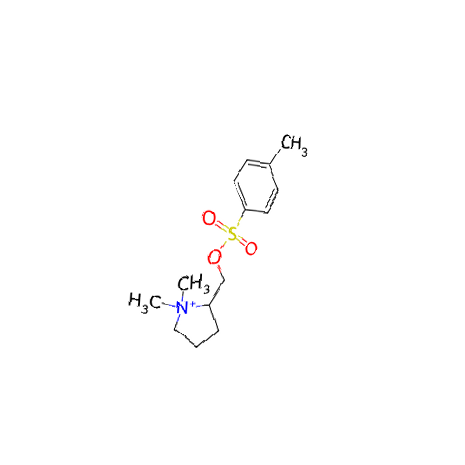 Cc1ccc(S(=O)(=O)OCC2CCC[N+]2(C)C)cc1